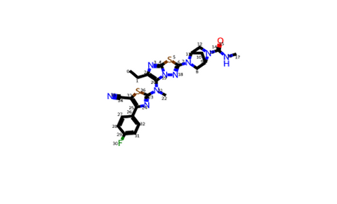 CCc1nc2sc(N3CC4CC3CN4C(=O)NC)nn2c1N(C)c1nc(-c2ccc(F)cc2)c(C#N)s1